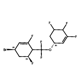 FC1=C[C@H](OC(F)(F)C2C(F)=C[C@H](Br)C[C@@H]2F)CC(F)C1F